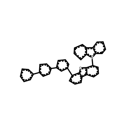 c1ccc(-c2ccc(-c3cccc(-c4cccc5c4oc4c(-n6c7ccccc7c7ccccc76)cccc45)c3)cc2)cc1